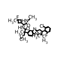 CCNC(=O)[C@H](NC(=O)C(C)(COC)c1ccc2[nH]c(CC(c3c(F)cccc3Cl)C(C)C)nc2c1)C1CC(C)(F)C1